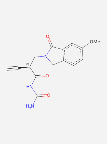 C#C[C@@H](CN1Cc2ccc(OC)cc2C1=O)C(=O)NC(N)=O